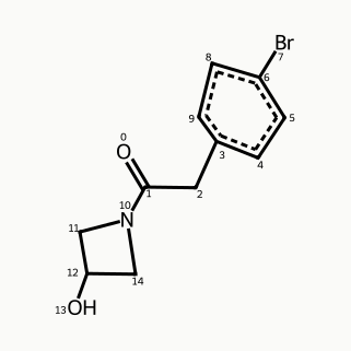 O=C(Cc1ccc(Br)cc1)N1CC(O)C1